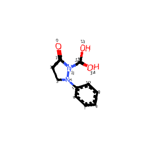 O=C1CCN(c2ccccc2)N1C(O)O